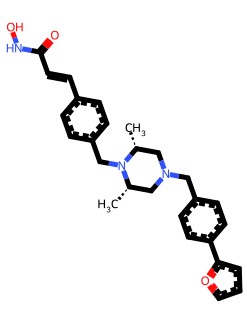 C[C@@H]1CN(Cc2ccc(-c3ccco3)cc2)C[C@H](C)N1Cc1ccc(/C=C/C(=O)NO)cc1